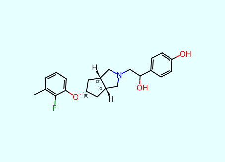 Cc1cccc(O[C@@H]2C[C@@H]3CN(CC(O)c4ccc(O)cc4)C[C@@H]3C2)c1F